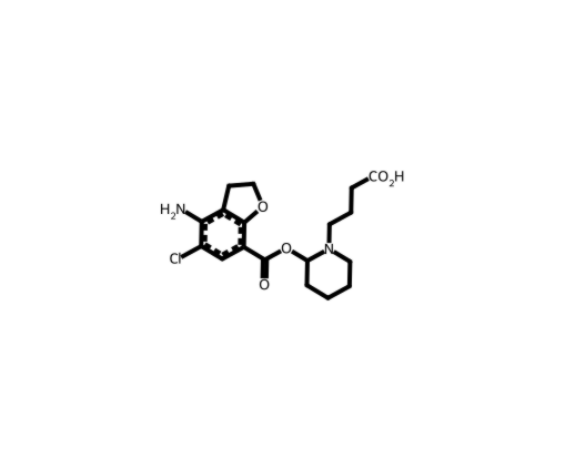 Nc1c(Cl)cc(C(=O)OC2CCCCN2CCCC(=O)O)c2c1CCO2